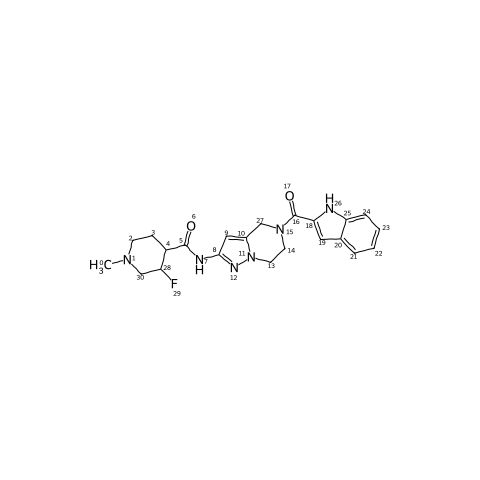 CN1CCC(C(=O)Nc2cc3n(n2)CCN(C(=O)c2cc4ccccc4[nH]2)C3)C(F)C1